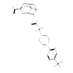 CC(C)(C(=O)NC1C2CC3CC1CC(C(=O)O)(C3)C2)N1CCN(c2ccc(C(F)(F)F)cc2Cl)CC1